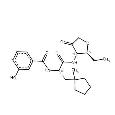 CC[C@@H]1OCC(=O)[C@H]1NC(=O)[C@H](CC1(C)CCCC1)NC(=O)c1ccnc(O)c1